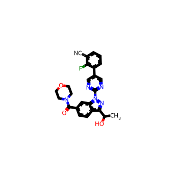 CC(O)c1nn(-c2ncc(-c3cccc(C#N)c3F)cn2)c2cc(C(=O)N3CCOCC3)ccc12